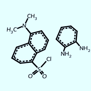 CN(C)c1cccc2c(S(=O)(=O)Cl)cccc12.Nc1ccccc1N